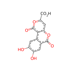 O=C(O)c1cc2oc(=O)c3cc(O)c(O)cc3c2c(=O)o1